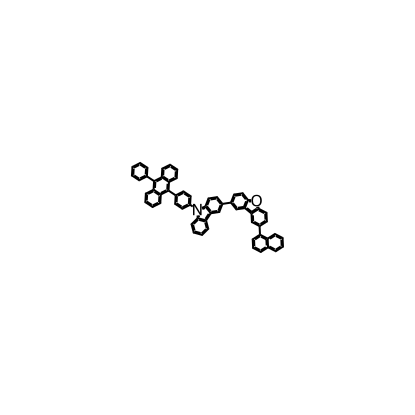 c1ccc(-c2c3ccccc3c(-c3ccc(-n4c5ccccc5c5cc(-c6ccc7oc8ccc(-c9cccc%10ccccc9%10)cc8c7c6)ccc54)cc3)c3ccccc23)cc1